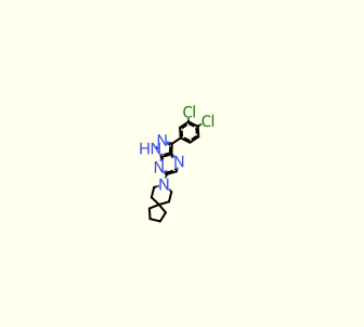 Clc1ccc(-c2n[nH]c3nc(N4CCC5(CCCC5)CC4)cnc23)cc1Cl